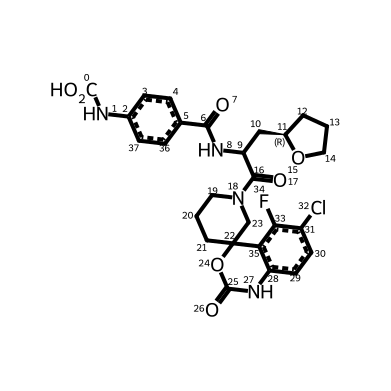 O=C(O)Nc1ccc(C(=O)NC(C[C@H]2CCCO2)C(=O)N2CCCC3(C2)OC(=O)Nc2ccc(Cl)c(F)c23)cc1